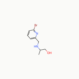 CC(CO)NCc1cccc(Br)n1